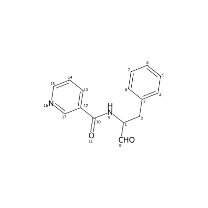 O=CC(Cc1ccccc1)NC(=O)c1cccnc1